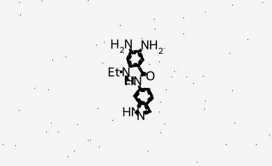 CCN(CC)c1cc(N)c(N)cc1C(=O)Nc1ccc2cn[nH]c2c1